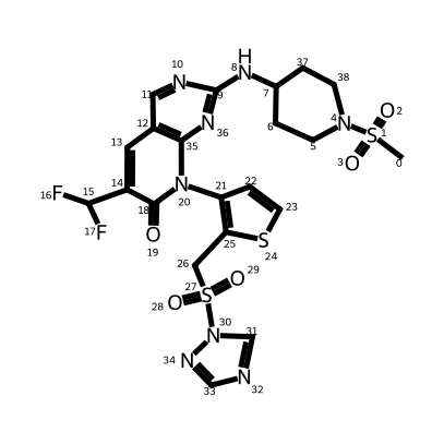 CS(=O)(=O)N1CCC(Nc2ncc3cc(C(F)F)c(=O)n(-c4ccsc4CS(=O)(=O)n4cncn4)c3n2)CC1